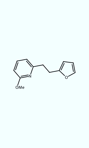 COc1cccc(CCc2ccco2)n1